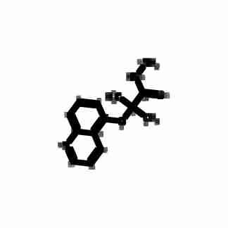 CC(C)(Oc1cccc2ncccc12)C(=O)NN